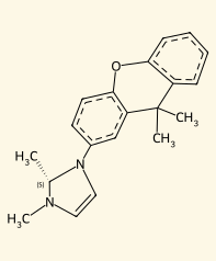 C[C@H]1N(C)C=CN1c1ccc2c(c1)C(C)(C)c1ccccc1O2